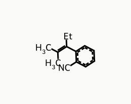 CCC(=C(C)C)c1ccccc1C#N